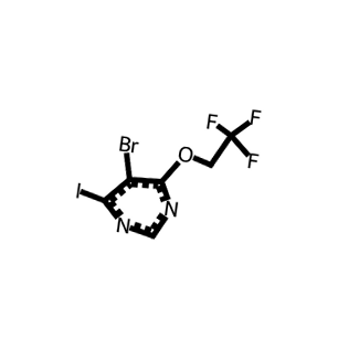 FC(F)(F)COc1ncnc(I)c1Br